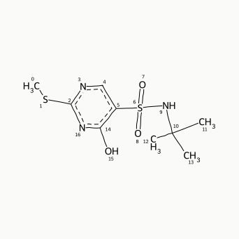 CSc1ncc(S(=O)(=O)NC(C)(C)C)c(O)n1